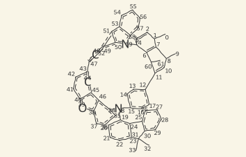 CC1C=CC2(C)C3=C1C(C)C=C(c1ccc(cc1)N(c1cccc4c1-c1ccccc1C4(C)C)c1cccc4oc5ccc(cc5c14)-c1ccc4c(c1)c1ccccc1n42)C3C